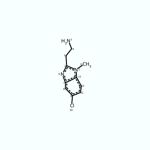 Cn1c(CCN)nc2cc(Cl)ccc21